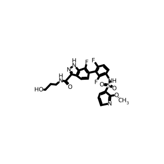 COc1ncccc1S(=O)(=O)Nc1ccc(F)c(-c2ccc3c(C(=O)NCCCO)n[nH]c3c2F)c1F